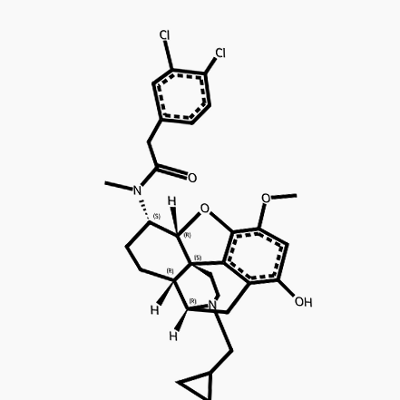 COc1cc(O)c2c3c1O[C@H]1[C@@H](N(C)C(=O)Cc4ccc(Cl)c(Cl)c4)CC[C@H]4[C@@H](C2)N(CC2CC2)CC[C@@]341